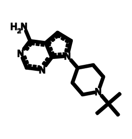 CC(C)(C)N1CCC(n2ccc3c(N)ncnc32)CC1